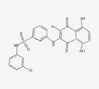 O=C1C(Cl)=C(Nc2cccc(S(=O)(=O)Nc3cccc(Cl)c3)c2)C(=O)c2c(O)ccc(O)c21